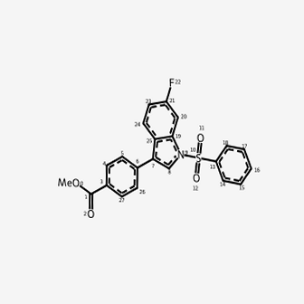 COC(=O)c1ccc(-c2cn(S(=O)(=O)c3ccccc3)c3cc(F)ccc23)cc1